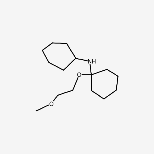 COCCOC1(NC2CCCCC2)CCCCC1